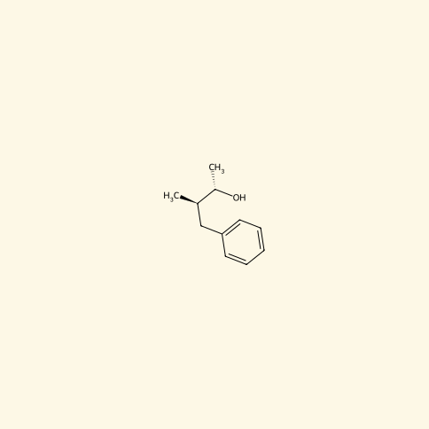 C[C@H](O)[C@H](C)Cc1ccccc1